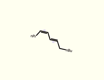 CCC/[C]=C\C=C\CCCCC